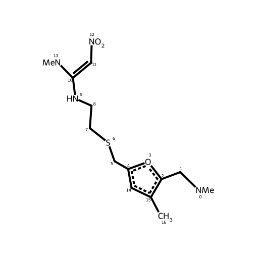 CNCc1oc(CSCCNC(=C[N+](=O)[O-])NC)cc1C